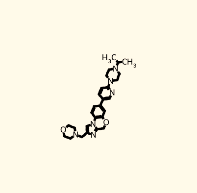 CC(C)N1CCN(c2ccc(-c3ccc4c(c3)OCc3nc(CN5CCOCC5)cn3-4)cn2)CC1